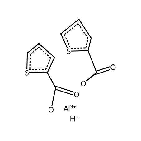 O=C([O-])c1cccs1.O=C([O-])c1cccs1.[Al+3].[H-]